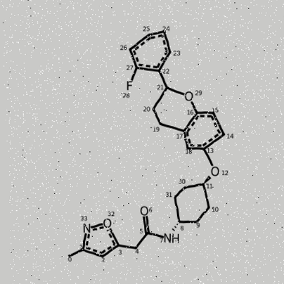 Cc1cc(CC(=O)N[C@H]2CC[C@H](Oc3ccc4c(c3)CCC(c3ccccc3F)O4)CC2)on1